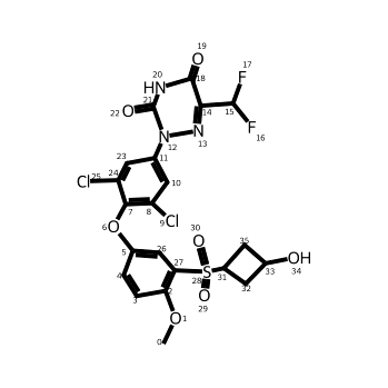 COc1ccc(Oc2c(Cl)cc(-n3nc(C(F)F)c(=O)[nH]c3=O)cc2Cl)cc1S(=O)(=O)C1CC(O)C1